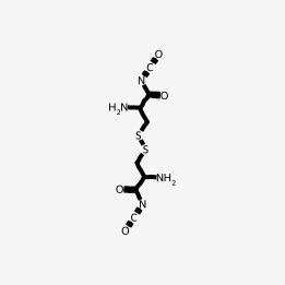 NC(CSSCC(N)C(=O)N=C=O)C(=O)N=C=O